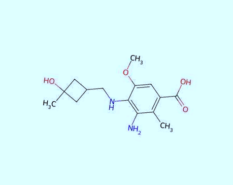 COc1cc(C(=O)O)c(C)c(N)c1NCC1CC(C)(O)C1